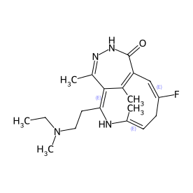 CCN(C)CC/C1=C2\C(C)=NNC(=O)C(=C2C)/C=C(/F)C/C=C(\C)N1